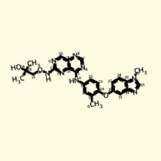 Cc1cc(Nc2ncnc3cnc(NOCC(C)(C)O)nc23)ccc1Oc1ccc2c(c1)ncn2C